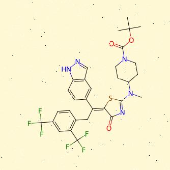 CN(C1=NC(=O)C(=C(Cc2ccc(C(F)(F)F)cc2C(F)(F)F)c2ccc3[nH]ncc3c2)S1)C1CCN(C(=O)OC(C)(C)C)CC1